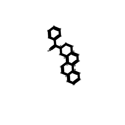 S=C(c1ccccc1)C1CCc2ccc3c(ccc4ccccc43)c2C1